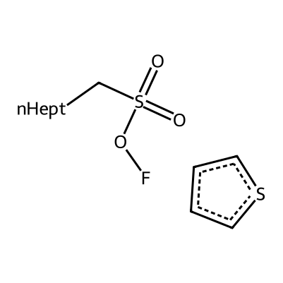 CCCCCCCCS(=O)(=O)OF.c1ccsc1